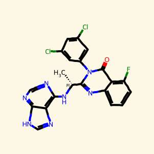 C[C@@H](Nc1ncnc2[nH]cnc12)c1nc2cccc(F)c2c(=O)n1-c1cc(Cl)cc(Cl)c1